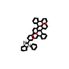 C1=CCCC(c2ccccc2-c2c3ccccc3c(-c3ccccc3-c3ccccc3)c3ccc(-c4ccc(-c5nc6ccccc6n5-c5ccccc5)cc4)cc23)=C1